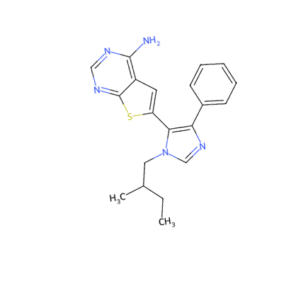 CCC(C)Cn1cnc(-c2ccccc2)c1-c1cc2c(N)ncnc2s1